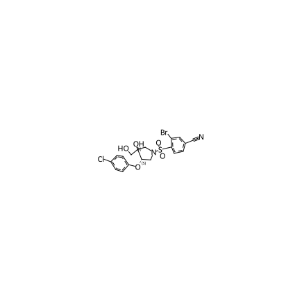 N#Cc1ccc(S(=O)(=O)N2C[C@H](Oc3ccc(Cl)cc3)[C@](O)(CO)C2)c(Br)c1